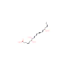 CC/C=C\CC(O)/C=C/C#C/C=C/C=C/C(O)C(O)C/C=C\CCC(=O)O